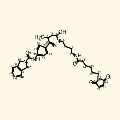 CC1CC(O)N(CCCCNC(=O)CCCCCN2C(=O)C=CC2=O)N=C1c1ccc(NC(=O)N2Cc3ccncc3C2)cc1